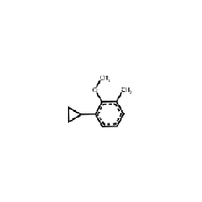 [CH2]c1cccc(C2CC2)c1OC